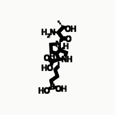 C[C@H](O)[C@@H](N)C(=O)N1CC[C@H]2[C@@H]1CN[C@@]2(CCCCB(O)O)C(=O)O